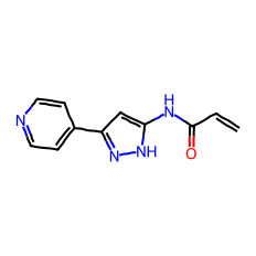 C=CC(=O)Nc1cc(-c2ccncc2)n[nH]1